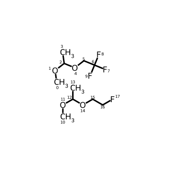 COC(C)OCC(F)(F)F.COC(C)OCCF